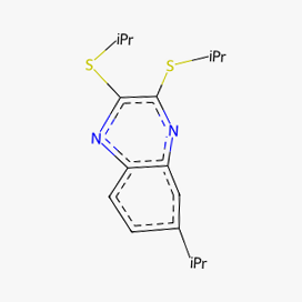 CC(C)Sc1nc2ccc(C(C)C)cc2nc1SC(C)C